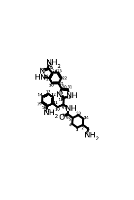 NCC1CCC(C(=O)NC(Cc2ccccc2N)c2nc(-c3ccc4c(N)n[nH]c4c3)c[nH]2)CC1